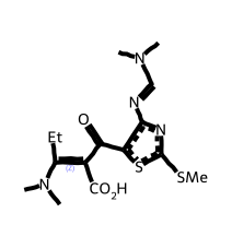 CC/C(=C(/C(=O)O)C(=O)c1sc(SC)nc1N=CN(C)C)N(C)C